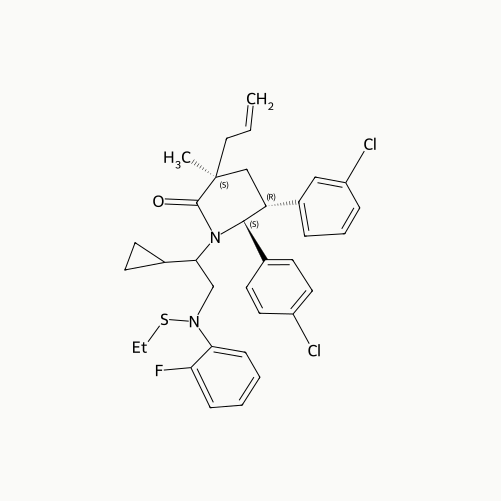 C=CC[C@@]1(C)C[C@H](c2cccc(Cl)c2)[C@@H](c2ccc(Cl)cc2)N(C(CN(SCC)c2ccccc2F)C2CC2)C1=O